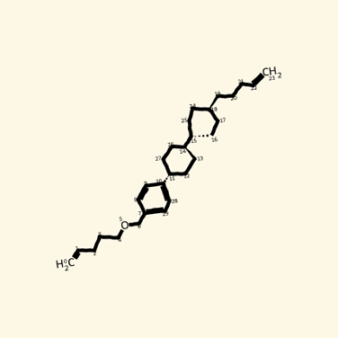 C=CCCCOCc1ccc([C@H]2CC[C@H]([C@H]3CC[C@H](CCCC=C)CC3)CC2)cc1